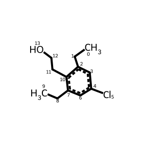 CCc1cc(Cl)cc(CC)c1CCO